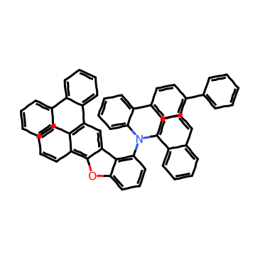 c1ccc(-c2ccc(-c3ccccc3N(c3cccc4ccccc34)c3cccc4oc5c6ccccc6c(-c6ccccc6-c6ccccc6)cc5c34)cc2)cc1